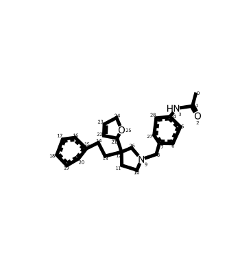 CC(=O)Nc1ccc(CN2CCC(CCc3ccccc3)(C3C=CCO3)C2)cc1